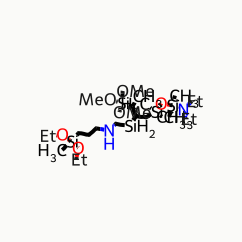 CCO[Si](C)(CCCNC[SiH2]C(C[Si](C)(C)O[Si](C)(C)N(CC)CC)C(C)[Si](OC)(OC)OC)OCC